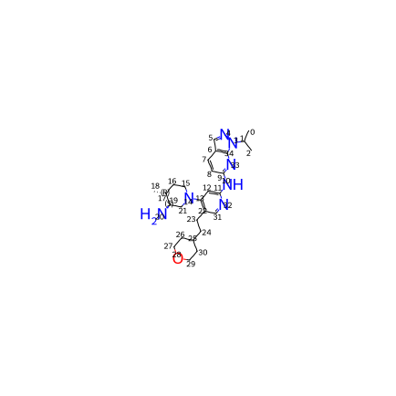 CC(C)n1ncc2ccc(Nc3cc(N4CC[C@@H](C)[C@H](N)C4)c(CCC4CCOCC4)cn3)nc21